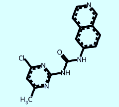 Cc1cc(Cl)nc(NC(=O)Nc2ccc3cnccc3c2)n1